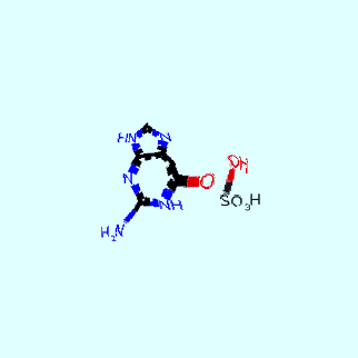 Nc1nc2[nH]cnc2c(=O)[nH]1.O=S(=O)(O)O